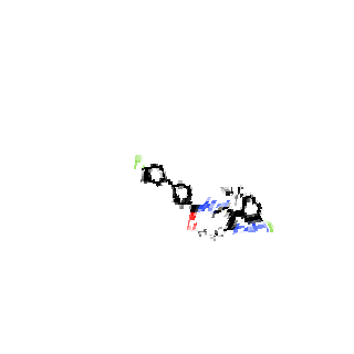 Cc1[nH]c2c(F)ccc(C)c2c1CCNC(=O)c1ccc(-c2ccc(F)cc2)cc1